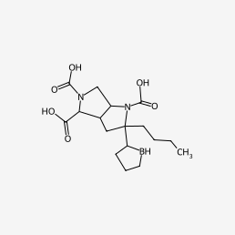 CCCCC1(C2BCCC2)CC2C(C(=O)O)N(C(=O)O)CC2N1C(=O)O